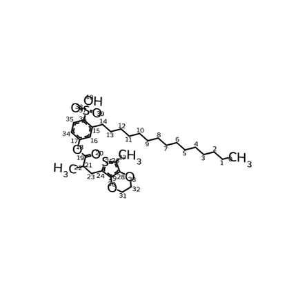 CCCCCCCCCCCCCCCc1cc(OC(=O)C(C)Cc2sc(C)c3c2OCCO3)ccc1S(=O)(=O)O